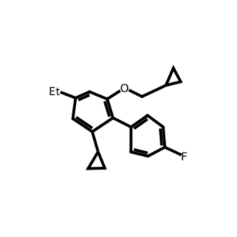 CCc1cc(OCC2CC2)c(-c2ccc(F)cc2)c(C2CC2)c1